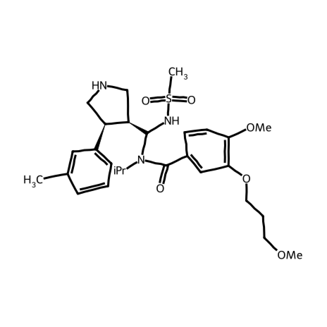 COCCCOc1cc(C(=O)N(C(C)C)C(NS(C)(=O)=O)[C@@H]2CNC[C@@H]2c2cccc(C)c2)ccc1OC